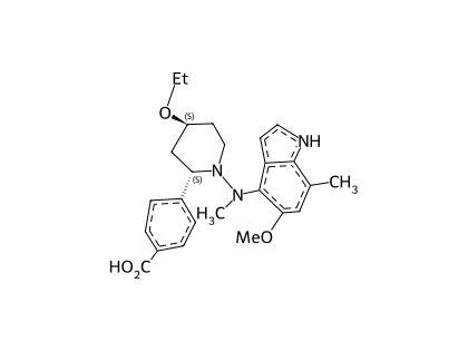 CCO[C@H]1CCN(N(C)c2c(OC)cc(C)c3[nH]ccc23)[C@H](c2ccc(C(=O)O)cc2)C1